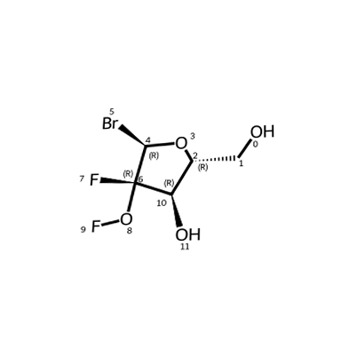 OC[C@H]1O[C@H](Br)[C@@](F)(OF)[C@@H]1O